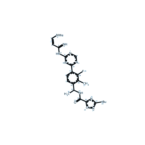 CN/C=C\C(=N)Nc1ncnc(-c2ccc(C(C)NC(=O)c3nc(C(C)(C)C)no3)c(C)c2F)n1